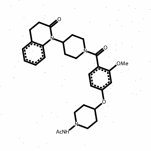 COc1cc(OC2CCN(NC(C)=O)CC2)ccc1C(=O)N1CCC(N2C(=O)CCc3ccccc32)CC1